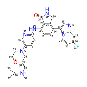 CN(C[C@@H]1CN(c2ccc(Nc3ccc(-c4cnc5cc(F)ccn45)c4c3C(=O)NC4)nc2)CCO1)C1CC1